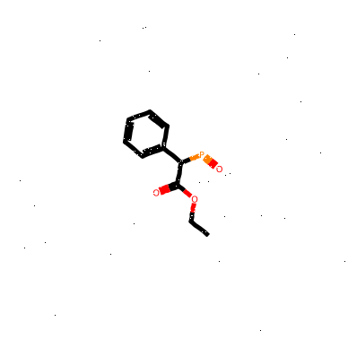 CCOC(=O)C(P=O)c1ccccc1